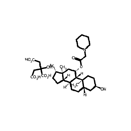 CC(=O)[C@H]1CC[C@H]2[C@@H]3CC[C@H]4C[C@H](O)CC[C@]4(C)[C@H]3[C@@H](OC(=O)CN3CCCCC3)C[C@]12C.O=C(O)CC(O)(CC(=O)O)C(=O)O